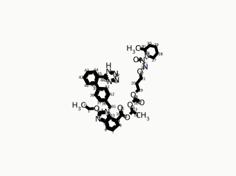 CCOc1nc2cccc(C(=O)OC(C)OC(=O)OCCCO/N=[N+](\[O-])N3CCCCC3C)c2n1Cc1ccc(-c2ccccc2-c2nnn[nH]2)cc1